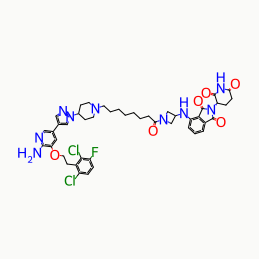 Nc1ncc(-c2cnn(C3CCN(CCCCCCCC(=O)N4CC(Nc5cccc6c5C(=O)N([C@@H]5CCC(=O)NC5=O)C6=O)C4)CC3)c2)cc1OCCc1c(Cl)ccc(F)c1Cl